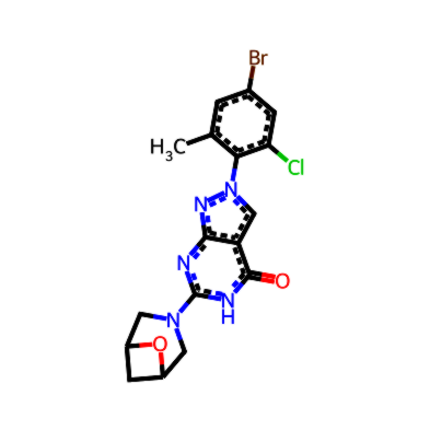 Cc1cc(Br)cc(Cl)c1-n1cc2c(=O)[nH]c(N3CC4CC(C3)O4)nc2n1